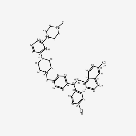 CN1CCN(c2nccc(N3CCN(Cc4ccc(C(Nc5ccnc6cc(Cl)ccc56)c5ccc(Cl)cc5)cc4)CC3)n2)CC1